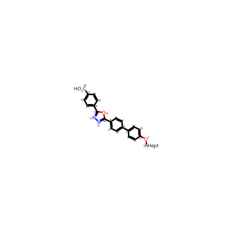 CCCCCCCOc1ccc(-c2ccc(-c3nnc(-c4ccc(C(=O)O)cc4)o3)cc2)cc1